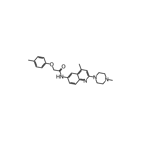 Cc1ccc(OCC(=O)Nc2ccc3nc(N4CCN(C)CC4)cc(C)c3c2)cc1